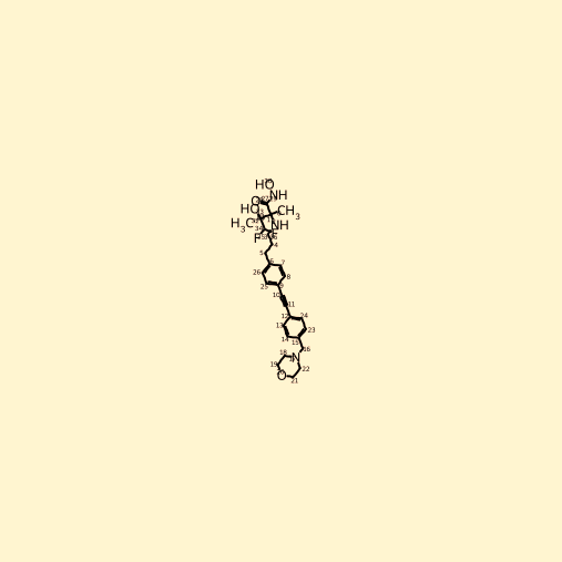 CC(NCCCc1ccc(C#Cc2ccc(CN3CCOCC3)cc2)cc1)(C(=O)NO)[C@](C)(O)C(F)F